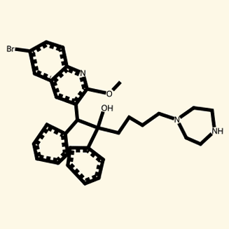 COc1nc2ccc(Br)cc2cc1C(c1ccccc1)C(O)(CCCCN1CCNCC1)c1ccccc1